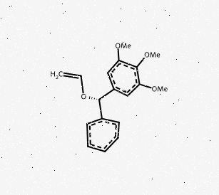 C=CO[C@@H](c1ccccc1)c1cc(OC)c(OC)c(OC)c1